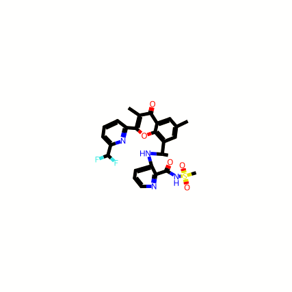 Cc1cc(C(C)Nc2cccnc2C(=O)NS(C)(=O)=O)c2oc(-c3cccc(C(F)F)n3)c(C)c(=O)c2c1